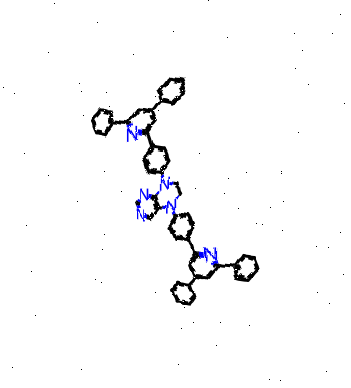 c1ccc(-c2cc(-c3ccccc3)nc(-c3ccc(N4CCN(c5ccc(-c6cc(-c7ccccc7)cc(-c7ccccc7)n6)cc5)c5ncncc54)cc3)c2)cc1